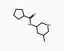 CC1[CH]C(NC(=O)C2CCCC2)CNC1